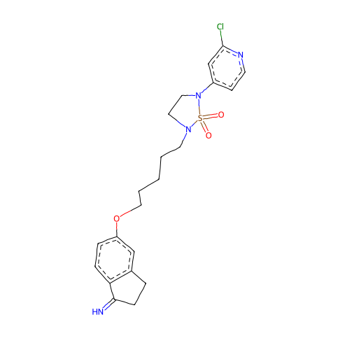 N=C1CCc2cc(OCCCCCN3CCN(c4ccnc(Cl)c4)S3(=O)=O)ccc21